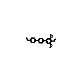 CCc1ccc(-c2ccc(-c3cc(OC)c(CC)c(OC)c3)cc2)cc1